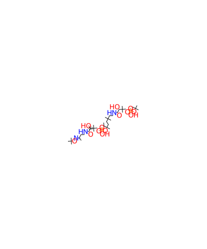 CCC(C)(CCC(C)(C)CCNC(=O)C(O)C(C)(C)COP(=O)(O)OC(C)(C)C)OP(=O)(O)OCC(C)(C)[C@H](O)C(=O)NCC/C(C)=N/OC(C)(C)C